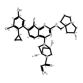 C=CC(=O)N1C[C@H]2C[C@@H]1CN2c1nc(OC[C@@]23CCCN2C[C@H](F)C3)nc2c(F)c(-c3cc(O)cc(Cl)c3C3CC3)ccc12